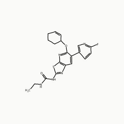 CCNC(=O)Nc1nc2cc(-c3ccc(F)nc3)c(OC3C=CCCC3)nc2s1